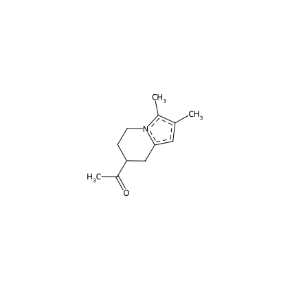 CC(=O)C1CCn2c(cc(C)c2C)C1